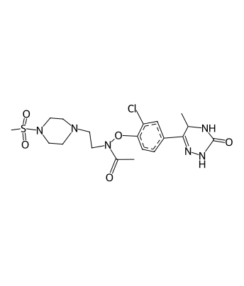 CC(=O)N(CCN1CCN(S(C)(=O)=O)CC1)Oc1ccc(C2=NNC(=O)NC2C)cc1Cl